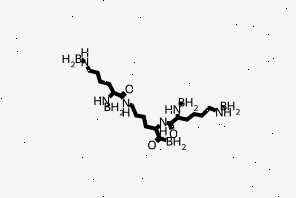 BNCCCCC(NB)C(=O)NCCCCC(NC(=O)C(CCCCNB)NB)C(B)=O